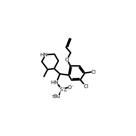 C=CCOc1cc(Cl)c(Cl)cc1C(N[S@@+]([O-])C(C)(C)C)C1CCNCC1C